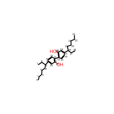 CCCCCC(CC)c1ccc(-c2ccc(C(CC)CCCCC)cc2O)c(O)c1